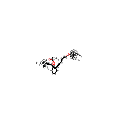 CC(=O)OC(C#C[Si](C)(C)C)C1=C(C#CC#CCCO[Si](C)(C)C(C)(C)C)CCCC1